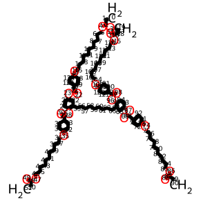 C=CC(=O)OCCCCCCCCCCCOc1ccc(C(=O)Oc2ccc(OC(=O)c3ccc(OCCCCCCCCCCCOC(=O)C=C)cc3)c(CCCCCCCCCc3cc(OC(=O)c4ccc(OCCCCCCCCCCCOC(=O)C=C)cc4)ccc3OC(=O)c3ccc(OCCCCCCCCCCCOC(=O)C=C)cc3)c2)cc1